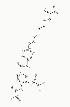 C=C(C)C(=O)OCCCCCCOc1ccc(OC(=O)c2ccc(OC(=O)C(=C)C)c(OC(=O)C(=C)C)c2)cc1